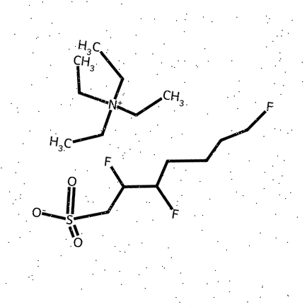 CC[N+](CC)(CC)CC.O=S(=O)([O-])CC(F)C(F)CCCCF